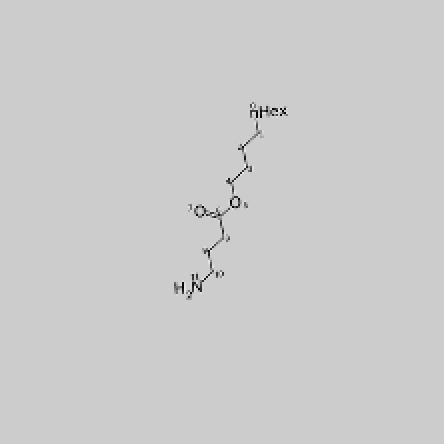 CCCCCCCCCCOC(=O)CCCN